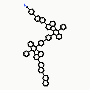 N#Cc1ccc(-c2ccc3cc(-c4ccc5c6c(cccc46)-c4c-5c(-c5ccc(-c6ccc(-c7c8c(c(-c9ccccc9)c9ccccc79)-c7ccc(-c9ccc%10cc(-c%11ccc%12ccccc%12c%11)ccc%10c9)c9cccc-8c79)cc6)cc5)c5ccccc5c4-c4ccccc4)ccc3c2)cc1